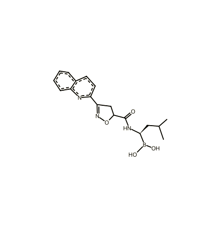 CC(C)C[C@H](NC(=O)C1CC(c2ccc3ccccc3n2)=NO1)B(O)O